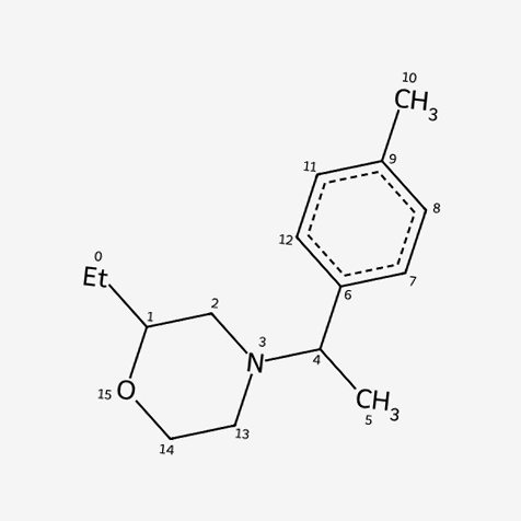 CCC1CN(C(C)c2ccc(C)cc2)CCO1